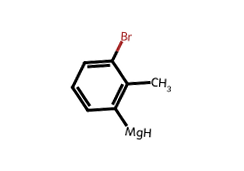 Cc1[c]([MgH])cccc1Br